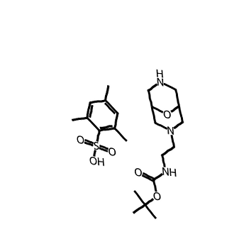 CC(C)(C)OC(=O)NCCN1CC2CNCC(C1)O2.Cc1cc(C)c(S(=O)(=O)O)c(C)c1